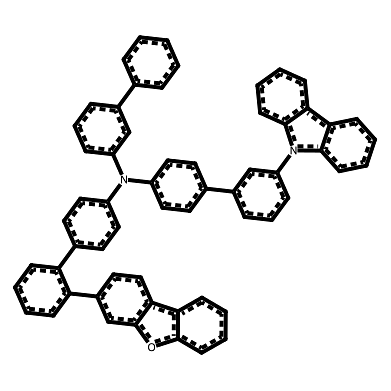 c1ccc(-c2cccc(N(c3ccc(-c4cccc(-n5c6ccccc6c6ccccc65)c4)cc3)c3ccc(-c4ccccc4-c4ccc5c(c4)oc4ccccc45)cc3)c2)cc1